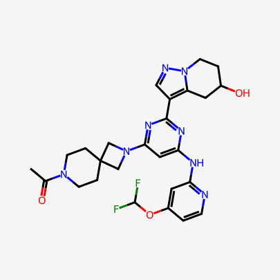 CC(=O)N1CCC2(CC1)CN(c1cc(Nc3cc(OC(F)F)ccn3)nc(-c3cnn4c3CC(O)CC4)n1)C2